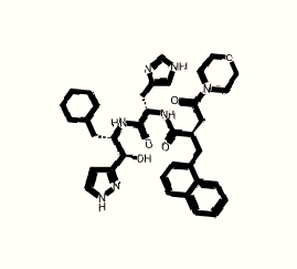 O=C(N[C@@H](Cc1c[nH]cn1)C(=O)N[C@@H](CC1CCCCC1)[C@@H](O)c1cc[nH]n1)[C@@H](CC(=O)N1CCOCC1)Cc1cccc2ccccc12